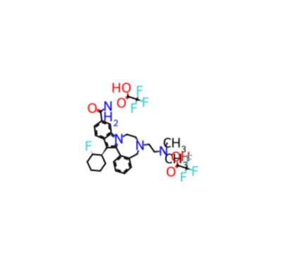 CN(C)CCN1CCn2c(c([C@H]3CCCC[C@@H]3F)c3ccc(C(N)=O)cc32)-c2ccccc2C1.O=C(O)C(F)(F)F.O=C(O)C(F)(F)F